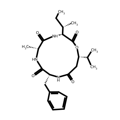 CC[C@H](C)[C@H]1NC(=O)[C@@H](C)NC(=O)[C@@H](Cc2ccccc2)NC(=O)C[C@@H](C(C)C)OC1=O